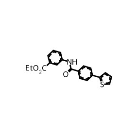 CCOC(=O)c1cccc(NC(=O)c2ccc(-c3cccs3)cc2)c1